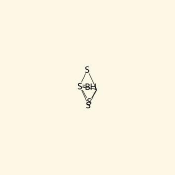 B=S123SC1(S2)S3